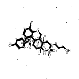 O=S1(=O)N[C@@H]2CC[C@@]3(S(=O)(=O)c4ccc(Cl)cc4)c4c(F)ccc(F)c4OC[C@H]3[C@@H]2C[C@H]1CCCO